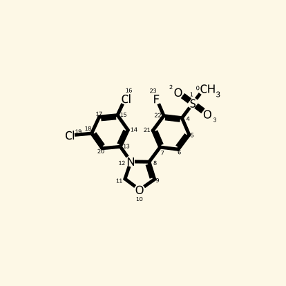 CS(=O)(=O)c1ccc(C2=COCN2c2cc(Cl)cc(Cl)c2)cc1F